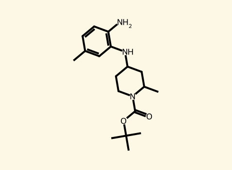 Cc1ccc(N)c(NC2CCN(C(=O)OC(C)(C)C)C(C)C2)c1